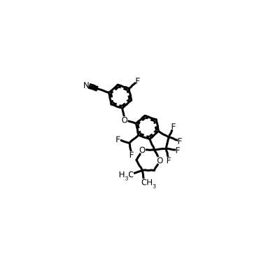 CC1(C)COC2(OC1)c1c(ccc(Oc3cc(F)cc(C#N)c3)c1C(F)F)C(F)(F)C2(F)F